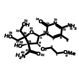 COCCO[C@H]1[C@H](n2cc(C)c(N)nc2=O)OC(CO)(CO)[C@]1(O)C(N)=O